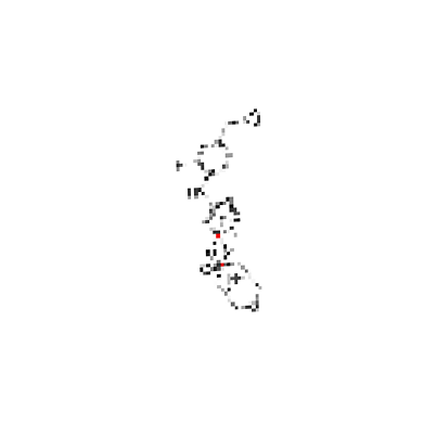 Cc1c(Nc2ccc(CC3CC3)cc2F)ncnc1OC1CC2COCC(C1)N2C(=O)OCC(C)(C)C